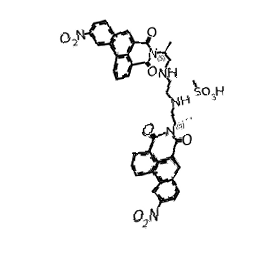 CS(=O)(=O)O.C[C@@H](CNCCNC[C@H](C)N1C(=O)c2cccc3c2c(cc2ccc([N+](=O)[O-])cc23)C1=O)N1C(=O)c2cccc3c2c(cc2ccc([N+](=O)[O-])cc23)C1=O